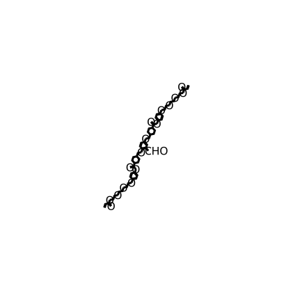 C=CC(=O)OCCOCCOCCOc1ccc(OC(=O)C2CCC(COc3ccc(OCC4CCC(C(=O)Oc5ccc(OCCOCCOCCOC(=O)C=C)cc5)CC4)c(C=O)c3)CC2)cc1